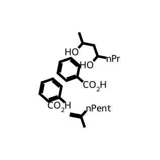 C=C(C)CCCCC.CCCC(O)CC(C)O.O=C(O)c1ccccc1.O=C(O)c1ccccc1